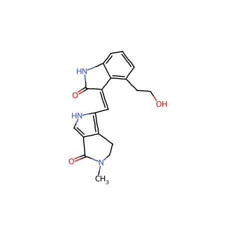 CN1CCc2c(c[nH]c2C=C2C(=O)Nc3cccc(CCO)c32)C1=O